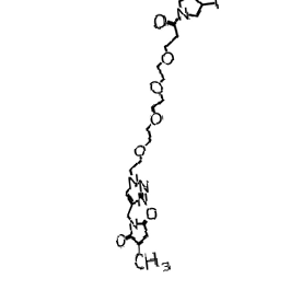 CC1CC(=O)N(Cc2cn(CCOCCOCCOCCOCCC(=O)N3CCC(I)C3)nn2)C1=O